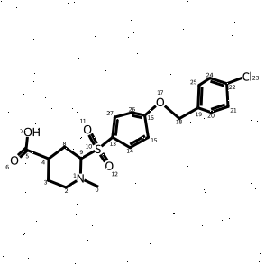 CN1CCC(C(=O)O)CC1S(=O)(=O)c1ccc(OCc2ccc(Cl)cc2)cc1